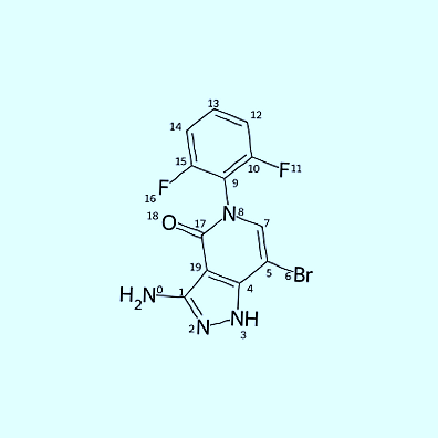 Nc1n[nH]c2c(Br)cn(-c3c(F)cccc3F)c(=O)c12